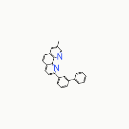 Cc1cnc2c(ccc3ccc(-c4cccc(-c5ccccc5)c4)nc32)c1